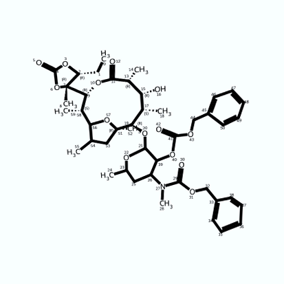 CC[C@H]1OC(=O)O[C@@]1(C)[C@@H]1OC(=O)[C@H](C)[C@H](O)[C@H](C)[C@@H](OC2OC(C)CC(N(C)C(=O)OCc3ccccc3)C2OC(=O)OCc2ccccc2)[C@@]2(C)CC(C)C(O2)[C@@H]1C